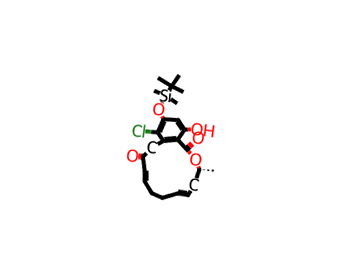 C[C@@H]1C/C=C/CC/C=C/C(=O)Cc2c(Cl)c(O[Si](C)(C)C(C)(C)C)cc(O)c2C(=O)O1